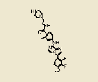 COc1ccc(-c2cnc3c(Nc4ccc(C(=O)NCCN5CCNCC5)c(C)c4)nccn23)c(F)c1F